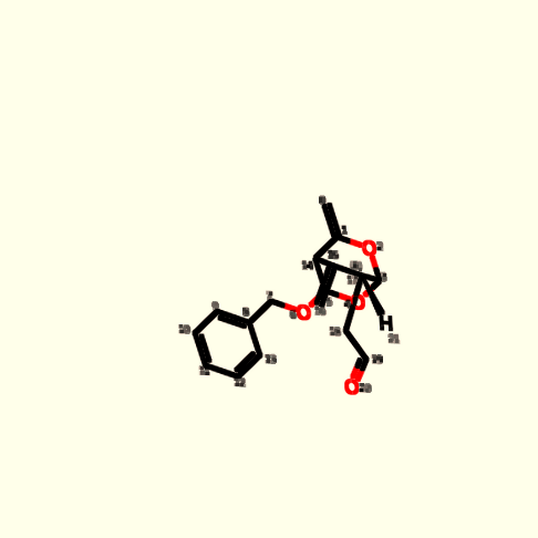 C=C1OC2OC(OCc3ccccc3)C1C(=C)[C@H]2CC=O